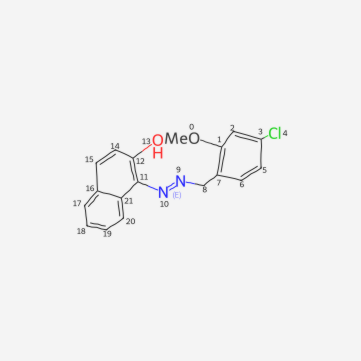 COc1cc(Cl)ccc1C/N=N/c1c(O)ccc2ccccc12